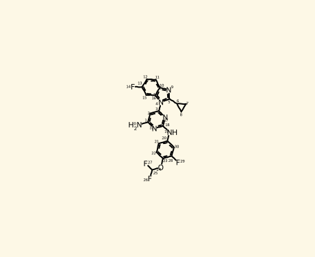 Nc1cc(-n2c(C3CC3)nc3ccc(F)cc32)nc(Nc2ccc(OC(F)F)c(F)c2)n1